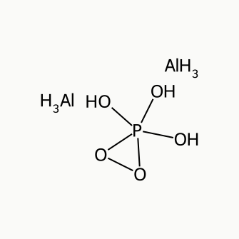 OP1(O)(O)OO1.[AlH3].[AlH3]